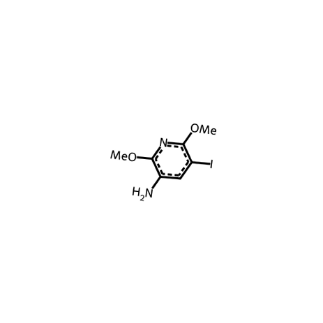 COc1nc(OC)c(I)cc1N